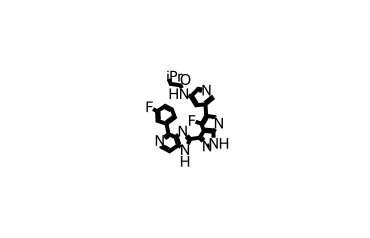 CC(C)CC(=O)Nc1cncc(-c2cnc3[nH]nc(-c4nc5c(-c6cccc(F)c6)nccc5[nH]4)c3c2F)c1